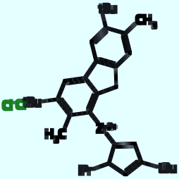 Cc1cc2c(cc1C(C)(C)C)-c1cc(C(C)(C)C)c(C)[c]([Zr+2][C]3=CC(C(C)(C)C)=CC3C(C)C)c1C2.[Cl-].[Cl-]